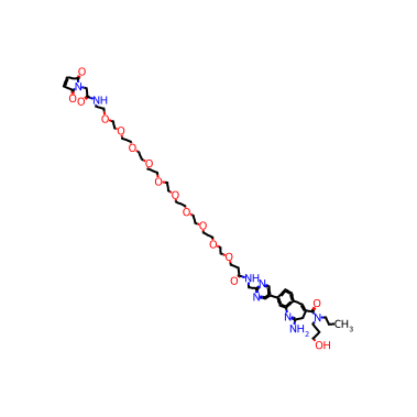 CCCN(CCCO)C(=O)C1=Cc2ccc(-c3cnc(CNC(=O)CCOCCOCCOCCOCCOCCOCCOCCOCCOCCOCCNC(=O)CN4C(=O)C=CC4=O)nc3)cc2N=C(N)C1